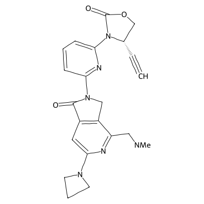 C#C[C@H]1COC(=O)N1c1cccc(N2Cc3c(cc(N4CCC4)nc3CNC)C2=O)n1